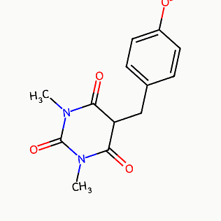 COc1ccc(CC2C(=O)N(C)C(=O)N(C)C2=O)cc1